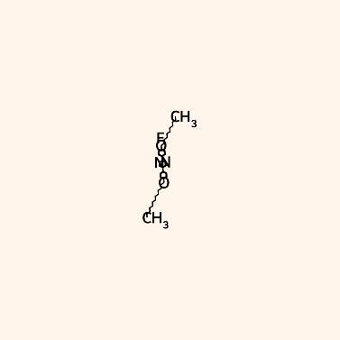 CCCCCCCCCCCCOc1ccc(-c2cnc(-c3ccc(OCC(F)CCCCCCCC)cc3)nc2)cc1